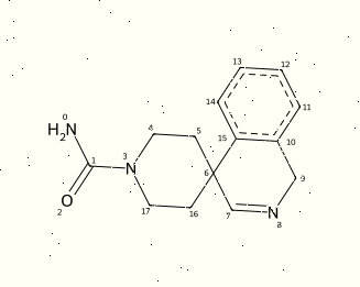 NC(=O)N1CCC2(C=NCc3ccccc32)CC1